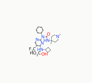 CN1CCC(C)(NC(=O)N(c2ccccc2)c2ncc(C(F)(F)F)c(NC3CCC3)n2)CC1.O=C(O)O